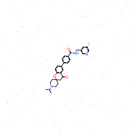 CC(C)N1CCC2(CC1)CC(=O)c1cc(-c3ccc(C(=O)NCc4cncc(F)c4)cc3)ccc1O2